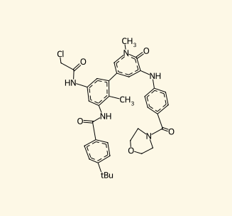 Cc1c(NC(=O)c2ccc(C(C)(C)C)cc2)cc(NC(=O)CCl)cc1-c1cc(Nc2ccc(C(=O)N3CCOCC3)cc2)c(=O)n(C)c1